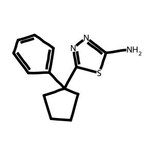 Nc1nnc(C2(c3ccccc3)CCCC2)s1